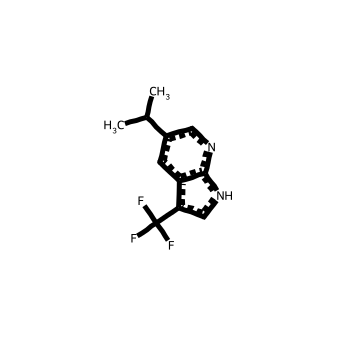 CC(C)c1cnc2[nH]cc(C(F)(F)F)c2c1